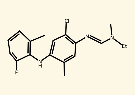 CCN(C)C=Nc1cc(C)c(Nc2c(C)cccc2F)cc1Cl